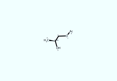 CC(=O)OC[C@H](C)O